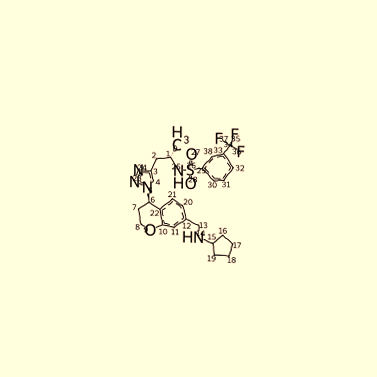 C[C@@H](Cc1cn([C@@H]2CCOc3cc(CNC4CCCC4)ccc32)nn1)NS(=O)(=O)c1cccc(C(F)(F)F)c1